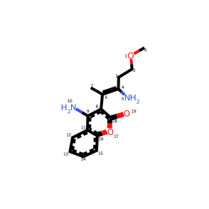 COCC/C(N)=C(\C)c1c(N)c2ccccc2oc1=O